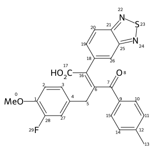 COc1ccc(CC(C(=O)c2ccc(C)cc2)=C(C(=O)O)c2ccc3nsnc3c2)cc1F